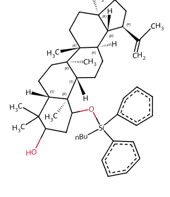 C=C(C)[C@@H]1CC[C@]2(C)CC[C@]3(C)[C@H](CC[C@@H]4[C@@]5(C)C(O[Si](CCCC)(c6ccccc6)c6ccccc6)CC(O)C(C)(C)[C@@H]5CC[C@]43C)[C@@H]12